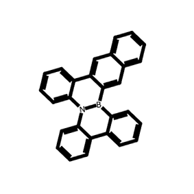 c1ccc2c(c1)B1c3cc4ccccc4cc3-c3ccccc3N1c1ccccc1-2